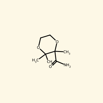 CC1(C)OCCOC1(C)C(N)=O